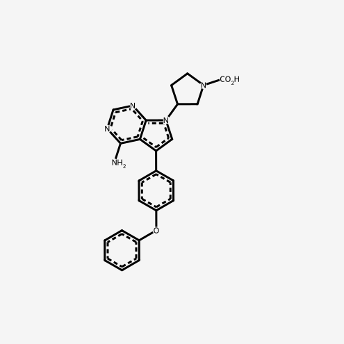 Nc1ncnc2c1c(-c1ccc(Oc3ccccc3)cc1)cn2C1CCN(C(=O)O)C1